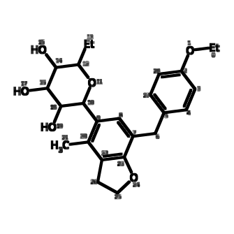 CCOc1ccc(Cc2cc(C3OC(CC)C(O)C(O)C3O)c(C)c3c2OCC3)cc1